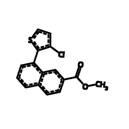 COC(=O)c1ccc2cccc(-c3sccc3Cl)c2c1